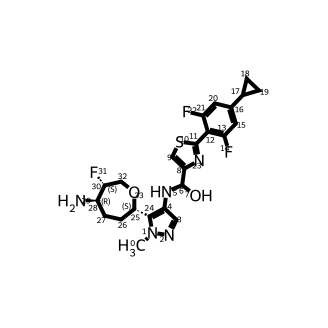 Cn1ncc(NC(O)c2csc(-c3c(F)cc(C4CC4)cc3F)n2)c1[C@@H]1CC[C@@H](N)[C@H](F)CO1